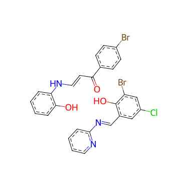 O=C(/C=C/Nc1ccccc1O)c1ccc(Br)cc1.Oc1c(Br)cc(Cl)cc1/C=N/c1ccccn1